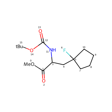 COC(=O)C(CC1(F)CCCC1)NC(=O)OC(C)(C)C